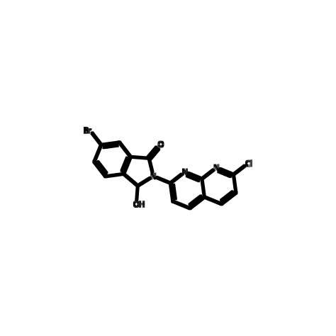 O=C1c2cc(Br)ccc2C(O)N1c1ccc2ccc(Cl)nc2n1